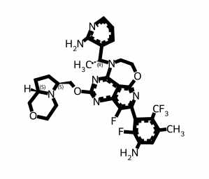 Cc1cc(N)c(F)c(-c2nc3c4c(nc(OC[C@@H]5CC[C@H]6COCCN65)nc4c2F)N([C@H](C)c2cccnc2N)CCO3)c1C(F)(F)F